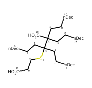 CCCCCCCCCCCCC(CCCCCCCCCCCC)(SCCC(=O)O)C(CCCCCCCCCCCC)(CCCCCCCCCCCC)C(=O)O